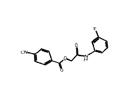 [C-]#[N+]c1ccc(C(=O)OCC(=O)Nc2cccc(F)c2)cc1